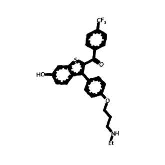 CCNCCCOc1ccc(-c2c(C(=O)c3ccc(C(F)(F)F)cc3)sc3cc(O)ccc23)cc1